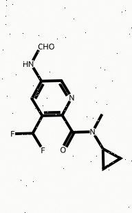 CN(C(=O)c1ncc(NC=O)cc1C(F)F)C1CC1